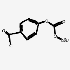 [CH2]CCCOC(=O)Oc1ccc(C(=O)Cl)cc1